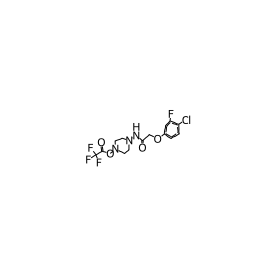 O=C(COc1ccc(Cl)c(F)c1)NN1CCN(OC(=O)C(F)(F)F)CC1